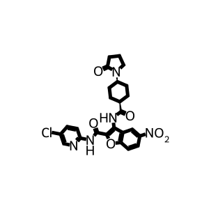 O=C(Nc1ccc(Cl)cn1)c1oc2ccc([N+](=O)[O-])cc2c1NC(=O)[C@H]1CC[C@H](N2CCCC2=O)CC1